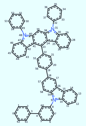 c1ccc(-c2cccc(-n3c4ccccc4c4cc(-c5ccc(-c6c7c8ccccc8n(-c8ccccc8)c7cc7c6c6ccccc6n7-c6ccccc6)cc5)ccc43)c2)cc1